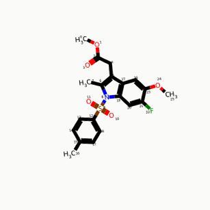 COC(=O)Cc1c(C)n(S(=O)(=O)c2ccc(C)cc2)c2cc(F)c(OC)cc12